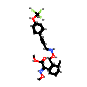 CO/N=C(/C(=O)OC)c1cccc(C)c1CO/N=C/C#Cc1ccc(OC(F)(F)F)cc1